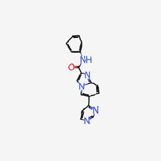 O=C(Nc1ccccc1)c1cn2cc(-c3ccncn3)ccc2n1